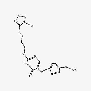 COc1ccc(Cc2cnc(NCCSCc3nsnc3Cl)[nH]c2=O)cc1